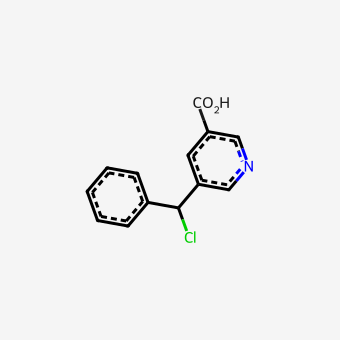 O=C(O)c1cncc(C(Cl)c2ccccc2)c1